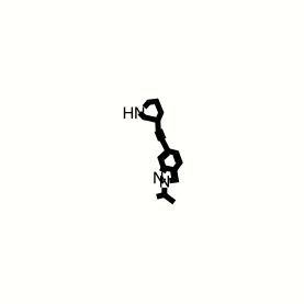 CC(C)n1cc2ccc(C#CC3CCCNC3)cc2n1